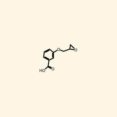 O=C(O)c1cccc(OCC2CO2)c1